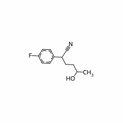 CC(O)CCC(C#N)c1ccc(F)cc1